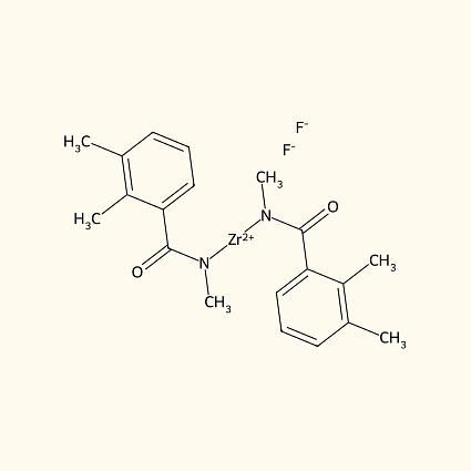 Cc1cccc(C(=O)[N](C)[Zr+2][N](C)C(=O)c2cccc(C)c2C)c1C.[F-].[F-]